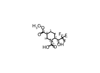 COC(=O)C1CCC([C@H](O)C(F)(F)F)N(C(=O)O)C1